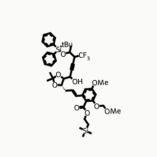 COCOc1cc(OC)cc(/C=C/C[C@@H]2OC(C)(C)OC2C(O)C#CC(C(C)O[Si](c2ccccc2)(c2ccccc2)C(C)(C)C)C(F)(F)F)c1C(=O)OCC[Si](C)(C)C